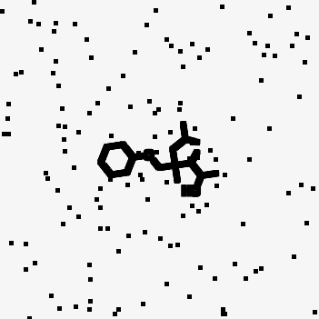 CC(C)CC(C)(COC1CCCCC1)C(C)C(C)O